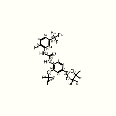 CC1(C)OB(c2ccc(NC(=O)Nc3cc(C(F)(F)F)ccc3F)c(OC(F)(F)F)c2)OC1(C)C